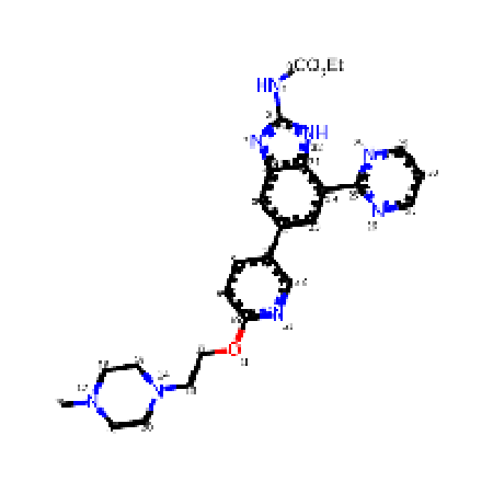 CCOC(=O)Nc1nc2cc(-c3ccc(OCCN4CCN(C)CC4)nc3)cc(-c3ncccn3)c2[nH]1